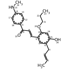 C/C=C/Cc1cc(/C=C/C(=O)c2ccc(NC)cc2)c(OCCC)cc1O